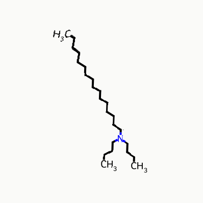 CCCCCCCCCCCCCCC[CH]N(CCCC)CCCC